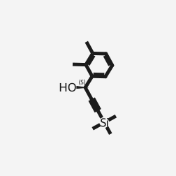 Cc1cccc([C@H](O)C#C[Si](C)(C)C)c1C